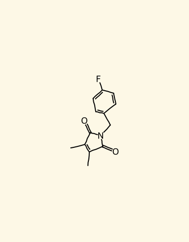 CC1=C(C)C(=O)N(Cc2ccc(F)cc2)C1=O